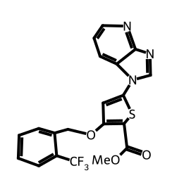 COC(=O)c1sc(-n2cnc3ncccc32)cc1OCc1ccccc1C(F)(F)F